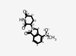 C[S+]([O-])c1cccc2c1CN(C1CCC(=O)NC1=O)C2=O